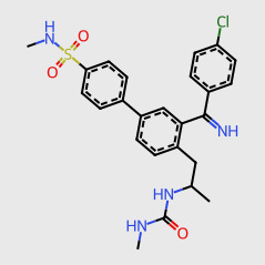 CNC(=O)NC(C)Cc1ccc(-c2ccc(S(=O)(=O)NC)cc2)cc1C(=N)c1ccc(Cl)cc1